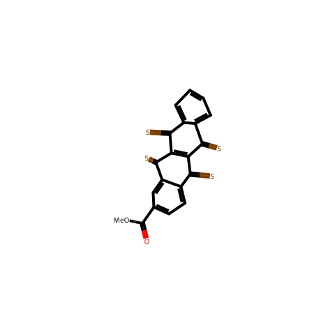 COC(=O)c1ccc2c(=S)c3c(=S)c4ccccc4c(=S)c=3c(=S)c2c1